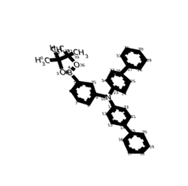 CC1(C)OB(c2cccc(N(c3ccc(-c4ccccc4)cc3)c3ccc(-c4ccccc4)cc3)c2)OC1(C)C